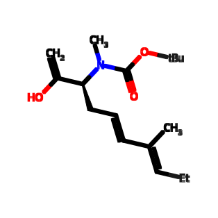 C=C(O)[C@H](C/C=C/C(C)=C/CC)N(C)C(=O)OC(C)(C)C